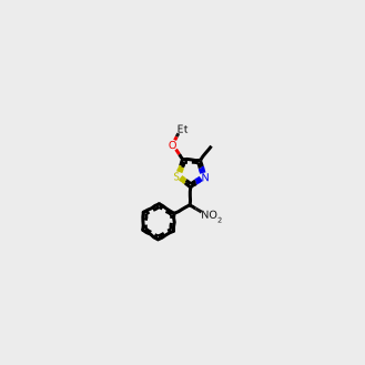 CCOc1sc(C(c2ccccc2)[N+](=O)[O-])nc1C